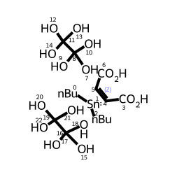 CCC[CH2][Sn][CH2]CCC.O=C(O)/C=C\C(=O)O.OC(O)(O)C(O)(O)O.OC(O)(O)C(O)(O)O